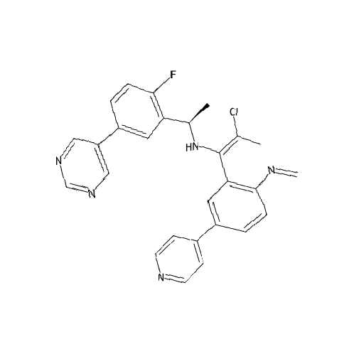 C=Nc1ccc(-c2ccncc2)cc1/C(N[C@H](C)c1cc(-c2cncnc2)ccc1F)=C(\C)Cl